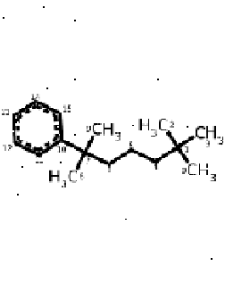 CC(C)(C)CCCC(C)(C)c1ccccc1